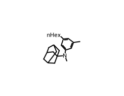 CCCCCCc1cc(C)cc(N(C)C23CC4CC(CC(C4)C2)C3)c1